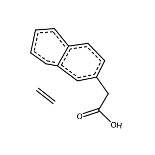 C=C.O=C(O)Cc1ccc2ccccc2c1